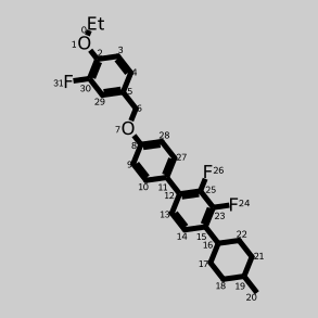 CCOc1ccc(COc2ccc(-c3ccc(C4CCC(C)CC4)c(F)c3F)cc2)cc1F